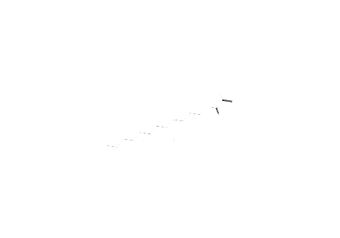 C=C(C)C(=O)OCCCCCCCCCCCC.O